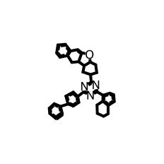 c1cccc(-c2ccc(-c3nc(-c4cccc5c4CCCC5)nc(C4CCC5OC6=Cc7ccccc7CC6C5C4)n3)cc2)c#1